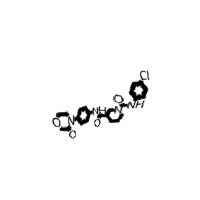 O=C(Nc1ccc(N2CCOCC2=O)cc1)C1CCCN(C(=O)Nc2ccc(Cl)cc2)C1